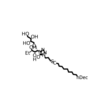 CCCCCCCCCCCCCCCCCCCCCCCCn1nnn([C@@H](COC[C@H](O)[C@@H](O)CO)[C@H](O)[C@H](O)CC)c1=O